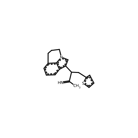 CC(=N)C(Cc1cccs1)c1cn2c3c(cccc13)CCC2